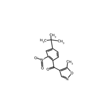 Cc1oncc1C(=O)c1ccc(C(C)(C)C)cc1[N+](=O)[O-]